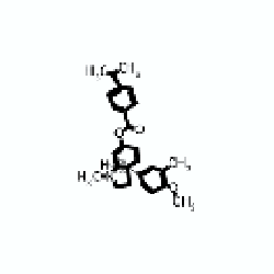 COc1ccc([C@@]23CCC(OC(=O)c4ccc(C(C)C)cc4)=C[C@@H]2N(C)CC3)cc1C